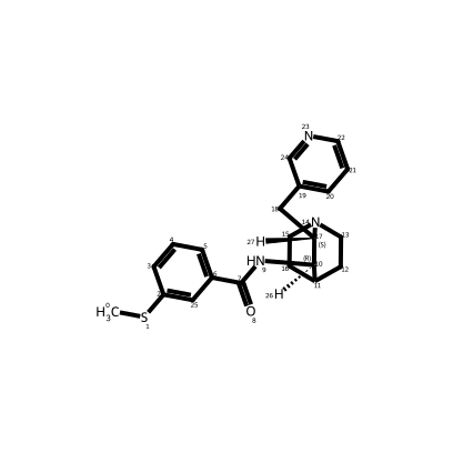 CSc1cccc(C(=O)N[C@@H]2C3CCN(CC3)[C@H]2Cc2cccnc2)c1